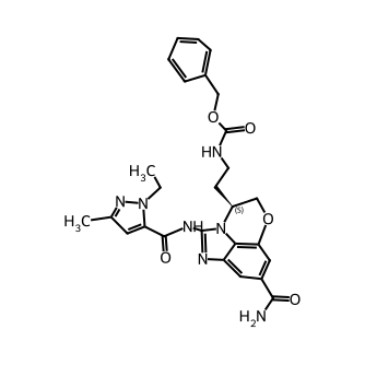 CCn1nc(C)cc1C(=O)Nc1nc2cc(C(N)=O)cc3c2n1[C@@H](CCNC(=O)OCc1ccccc1)CO3